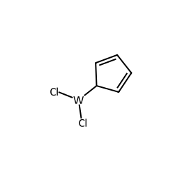 [Cl][W]([Cl])[CH]1C=CC=C1